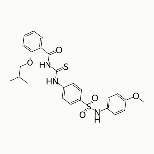 COc1ccc(NS(=O)(=O)c2ccc(NC(=S)NC(=O)c3ccccc3OCC(C)C)cc2)cc1